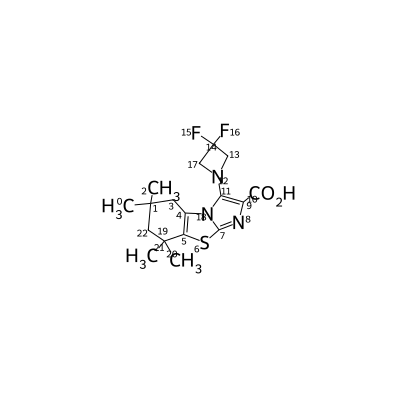 CC1(C)Cc2c(sc3nc(C(=O)O)c(N4CC(F)(F)C4)n23)C(C)(C)C1